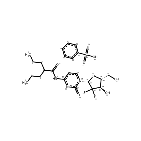 CCCC(CCC)C(=O)Nc1ccn([C@@H]2O[C@H](CO)[C@@H](O)C2(F)F)c(=O)n1.O=S(=O)(O)c1ccccc1